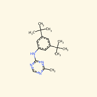 Cc1ncnc(Nc2cc(C(C)(C)C)cc(C(C)(C)C)c2)n1